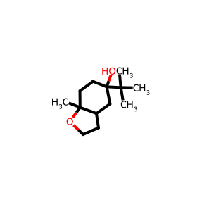 CC12CCC(O)(C(C)(C)C)CC1CCO2